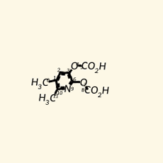 Cc1cc(OC(=O)O)c(OC(=O)O)nc1C